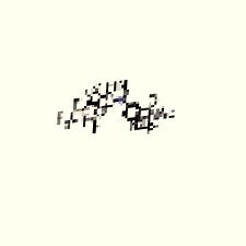 CC(=O)N(C(=O)c1cc(/C(C=N)=C/Nc2c(OC(F)F)c(C(F)(F)C(F)(F)F)nn2C)ccc1Cl)C1(C#N)CC1